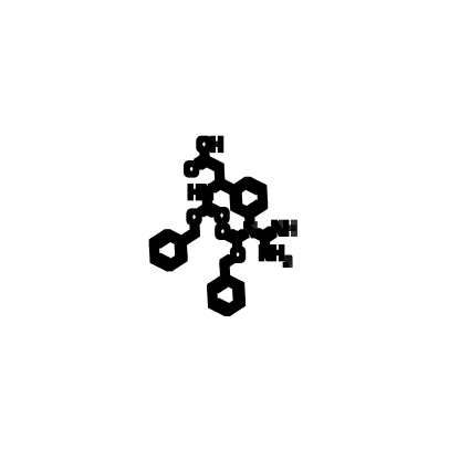 N=C(N)N(C(=O)OCc1ccccc1)c1cccc(C(CC(=O)O)NC(=O)OCc2ccccc2)c1